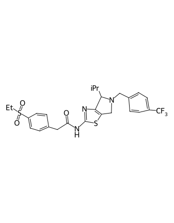 CCS(=O)(=O)c1ccc(CC(=O)Nc2nc3c(s2)CN(Cc2ccc(C(F)(F)F)cc2)C3C(C)C)cc1